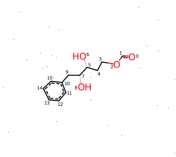 O=COCC[C@@H](O)[C@H](O)Cc1ccccc1